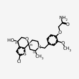 COc1cc(CN2CC[C@]3(C[C@@H]2C)OC[C@H](O)c2cc(Cl)sc23)ccc1OCC(N)=O